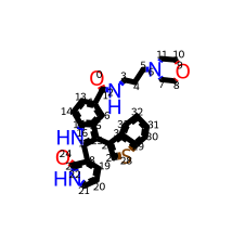 O=C(NCCCN1CCOCC1)c1ccc2[nH]c(-c3ccc[nH]c3=O)c(-c3csc4ccccc34)c2c1